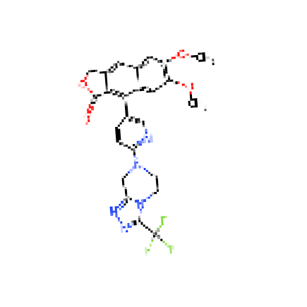 COc1cc2cc3c(c(-c4ccc(N5CCn6c(nnc6C(F)(F)F)C5)nc4)c2cc1OC)C(=O)OC3